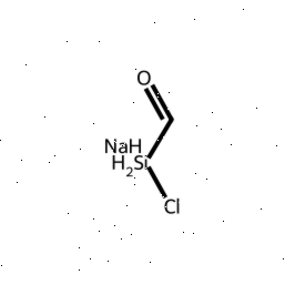 O=C[SiH2]Cl.[NaH]